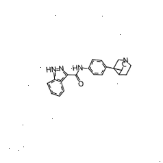 O=C(Nc1ccc(C2CN3CCC2CC3)cc1)c1n[nH]c2ccccc12